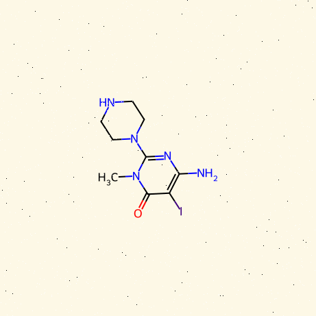 Cn1c(N2CCNCC2)nc(N)c(I)c1=O